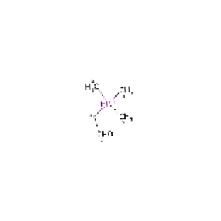 C[PH](C)(C)CC=O